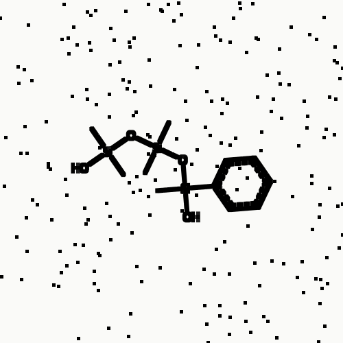 C[Si](C)(O)O[Si](C)(C)O[Si](C)(O)c1ccccc1